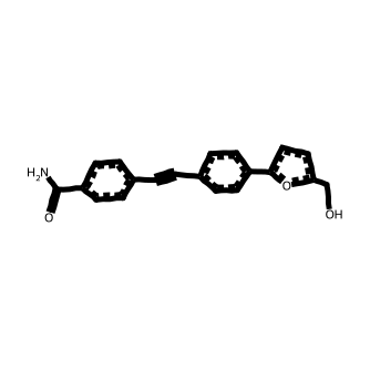 NC(=O)c1ccc(C#Cc2ccc(-c3ccc(CO)o3)cc2)cc1